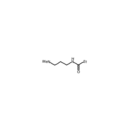 CCC(=O)NCCCNC